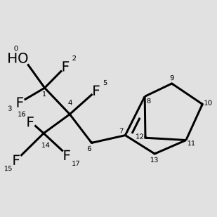 OC(F)(F)C(F)(CC1=C2CCC(C2)C1)C(F)(F)F